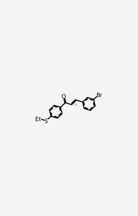 CCSc1ccc(C(=O)/C=C/c2cccc(Br)c2)cc1